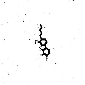 CCCCCc1ccc2c(sc3c(F)c(F)ccc32)c1F